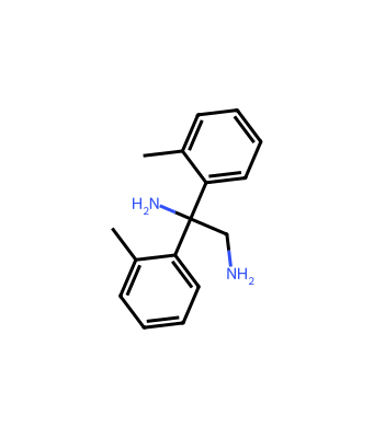 Cc1ccccc1C(N)(CN)c1ccccc1C